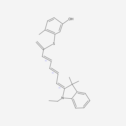 C=C(/C=C/C=C/C=C1/N(CC)c2ccccc2C1(C)C)Sc1cc(O)ccc1C